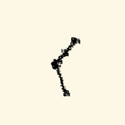 C[C@H](C=O)NC(=O)COCCOCCNC(=O)COCCOCCNC(=O)[C@@H](NC(=O)CCCCCCCCCCCCCCCCC(=O)O)C(=O)O